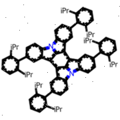 CC(C)c1cccc(C(C)C)c1-c1ccc2c(c1)c1c3c4cc(-c5c(C(C)C)cccc5C(C)C)ccc4n4c5ccc(-c6c(C(C)C)cccc6C(C)C)cc5c(c5c6cc(-c7c(C(C)C)cccc7C(C)C)ccc6n2c15)c34